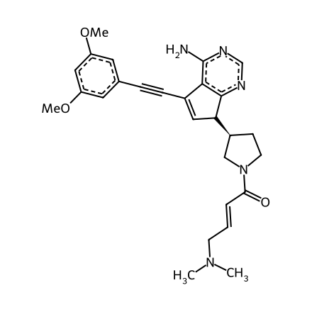 COc1cc(C#CC2=CC([C@H]3CCN(C(=O)/C=C/CN(C)C)C3)c3ncnc(N)c32)cc(OC)c1